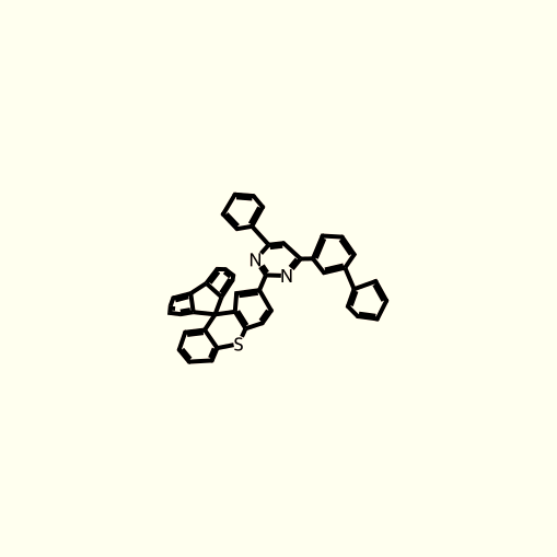 c1ccc(-c2cccc(-c3cc(-c4ccccc4)nc(-c4ccc5c(c4)C4(c6ccccc6S5)c5ccccc5-c5ccccc54)n3)c2)cc1